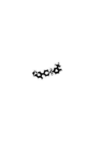 Cc1cc2ncnn2cc1C1CCN(S(=O)(=O)c2ccc(C)c(C(F)(F)F)c2)CC1